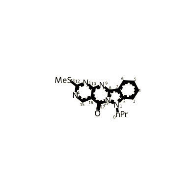 CCCn1c2ccccc2c2nc3nc(SC)ncc3c(=O)n21